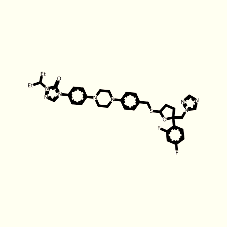 CCC(CC)n1ncn(-c2ccc(N3CCN(c4ccc(CSC5CCC(Cn6cncn6)(c6ccc(F)cc6F)O5)cc4)CC3)cc2)c1=O